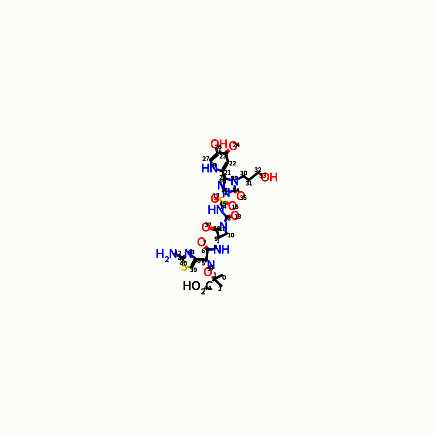 CC(C)(ON=C(C(=O)N[C@H]1CN(C(=O)NS(=O)(=O)n2nc(-c3cc(=O)c(O)c[nH]3)n(CCCO)c2=O)C1=O)c1csc(N)n1)C(=O)O